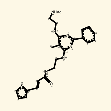 CC(=O)NCCNc1nc(-c2ccccc2)nc(NCCNC(=O)C=Cc2cccs2)c1C